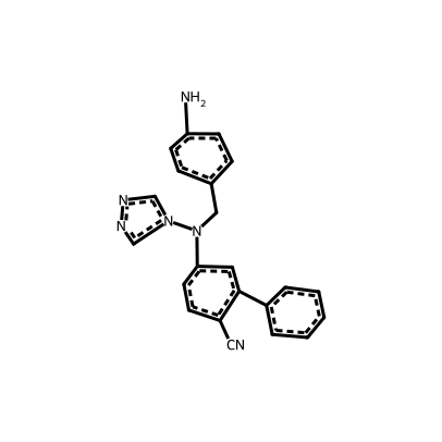 N#Cc1ccc(N(Cc2ccc(N)cc2)n2cnnc2)cc1-c1ccccc1